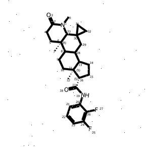 CN1C(=O)CC[C@]2(C)C3CC[C@@]4(C)C(CC[C@@H]4C(=O)Nc4cccc(F)c4F)C3CC3(CC3)C12